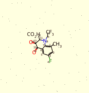 Cc1cc(F)cc2c1N(CC(F)(F)F)C(C(=O)O)C(=O)C2=O